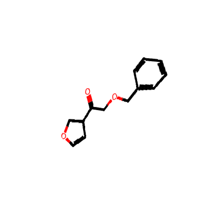 O=C(COCc1ccccc1)C1C=COC1